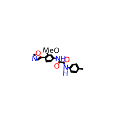 COc1cc(NC(=O)C(=O)Nc2ccc(C)cc2)ccc1-c1cnco1